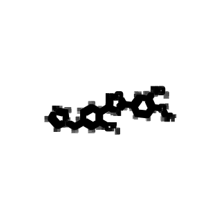 CC(C)Oc1ccc(-c2nc(-c3ccc(Cn4ccnc4)cc3C(F)(F)F)no2)cc1[N+](=O)[O-]